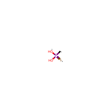 CP(O)(O)=S